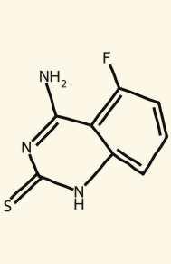 Nc1nc(=S)[nH]c2cccc(F)c12